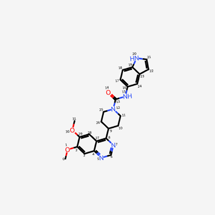 COc1cc2ncnc(C3CCN(C(=O)Nc4ccc5[nH]ccc5c4)CC3)c2cc1OC